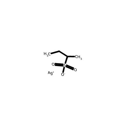 CCC(C)S(=O)(=O)[O-].[Ag+]